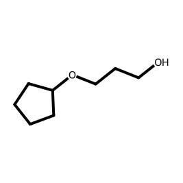 OCCCOC1CCCC1